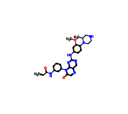 C=CC(=O)Nc1cccc(-n2c(=O)cnc3cnc(Nc4ccc(N5CCNCC5C)c(OC)c4)nc32)c1